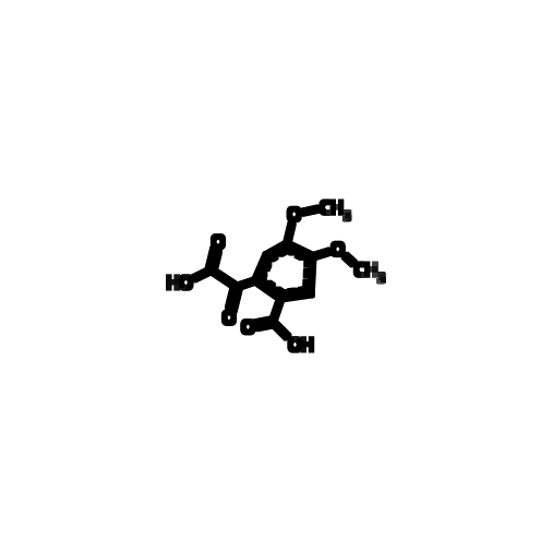 COc1cc(C(=O)O)c(C(=O)C(=O)O)cc1OC